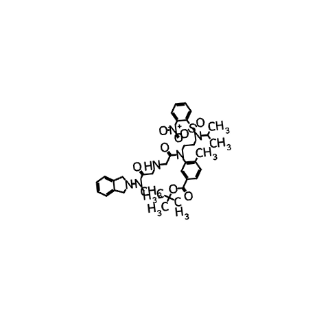 Cc1ccc(C(=O)OC(C)(C)C)cc1N(CCN(C(C)C)S(=O)(=O)c1ccccc1[N+](=O)[O-])C(=O)CNCC(=O)N(C)N1Cc2ccccc2C1